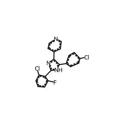 Fc1cccc(Cl)c1-c1nc(-c2ccncc2)c(-c2ccc(Cl)cc2)[nH]1